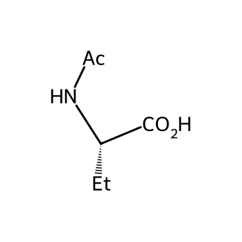 CC[C@H](NC(C)=O)C(=O)O